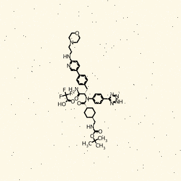 CC(C)(C)OC(=O)NC[C@H]1CC[C@H](C(=O)N(c2ccc(-c3nn[nH]n3)cc2)[C@@H](Cc2ccc(-c3ccc(NCCN4CCOCC4)nc3)cc2)C(N)=O)CC1.O=C(O)C(F)(F)F